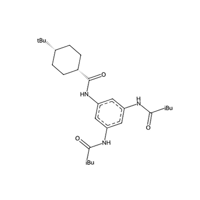 CCC(C)C(=O)Nc1cc(NC(=O)C(C)CC)cc(NC(=O)[C@H]2CC[C@@H](C(C)(C)C)CC2)c1